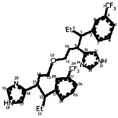 CCC(c1cccc(C(F)(F)F)c1)C(CCOCCC(c1c[nH]cn1)C(CC)c1cccc(C(F)(F)F)c1)c1c[nH]cn1